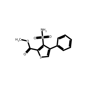 COC(=O)c1scc(-c2ccccc2)c1S(N)(=O)=O